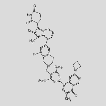 COc1cc(-c2cn(C)c(=O)c3cnc(N4CCC4)cc23)cc(OC)c1CN1CCc2cc(-c3cccc4c3n(C)c(=O)n4C3CCC(=O)NC3=O)cc(F)c2C1